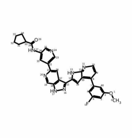 COc1cc(F)cc(-c2ccnc3[nH]c(-c4n[nH]c5cnc(-c6cncc(NC(=O)C7CCCC7)c6)cc45)cc23)c1